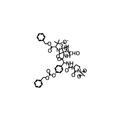 CC1(C)[C@H](C(=O)OCc2ccccc2)N2C(=O)[C@@](NC=O)(NC(=O)C(NC(=O)N3CCN(S(C)(=O)=O)C3=O)c3ccc(OC(=O)OCc4ccccc4)cc3)[C@H]2[S+]1[O-]